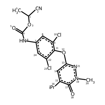 CC(C#N)OC(=O)Nc1cc(Cl)c(Oc2cc(C(C)C)c(=O)n(C)n2)c(Cl)c1